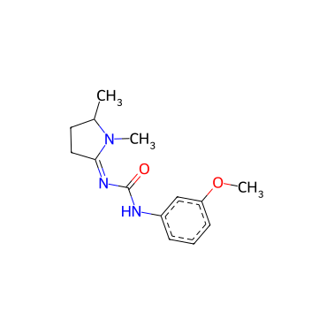 COc1cccc(NC(=O)N=C2CCC(C)N2C)c1